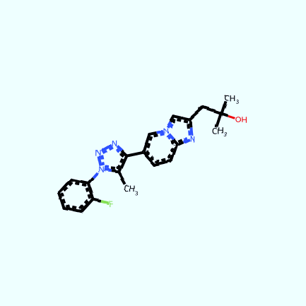 Cc1c(-c2ccc3nc(CC(C)(C)O)cn3c2)nnn1-c1ccccc1F